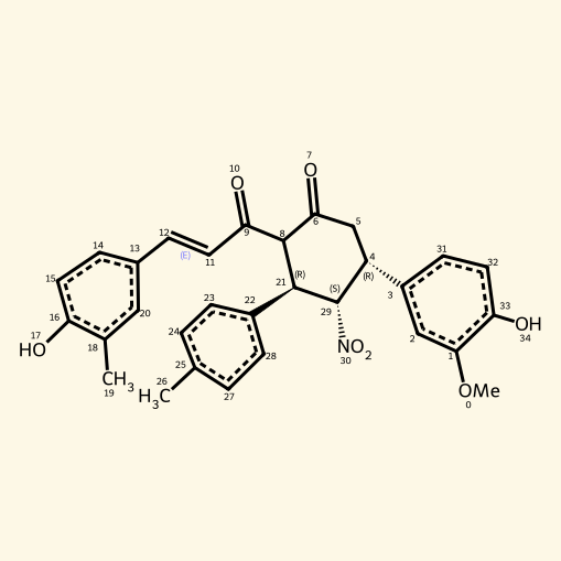 COc1cc([C@H]2CC(=O)C(C(=O)/C=C/c3ccc(O)c(C)c3)[C@H](c3ccc(C)cc3)[C@H]2[N+](=O)[O-])ccc1O